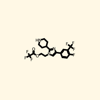 O=C(OCCn1cc(-c2ccc(F)c(C(F)(F)F)c2)nc1C1CCNCC1)C(F)(F)F